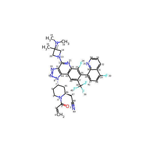 C=CC(=O)N1CC[C@H](n2nnc3c(N4CC(C)(N(C)C)C4)nc4c(F)c(-c5ccc(F)c6cccnc56)c(C(F)(F)F)cc4c32)C[C@H]1CC#N